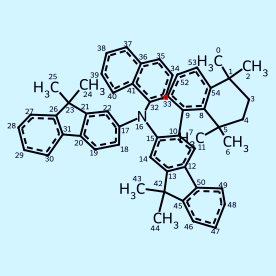 CC1(C)CCC(C)(C)c2c(-c3cc4c(cc3N(c3ccc5c(c3)C(C)(C)c3ccccc3-5)c3cccc5ccccc35)C(C)(C)c3ccccc3-4)cccc21